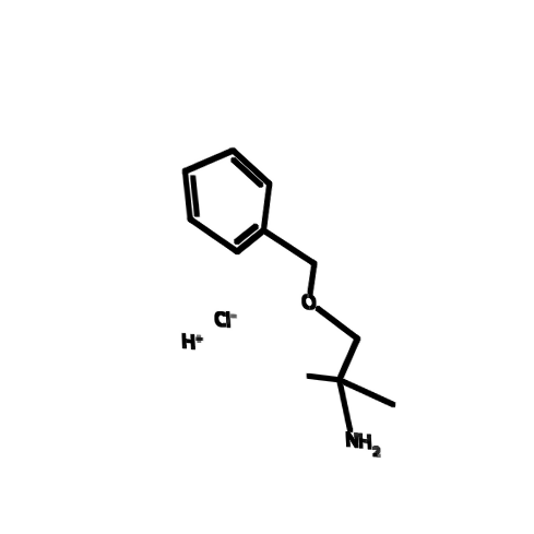 CC(C)(N)COCc1ccccc1.[Cl-].[H+]